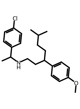 COc1ccc(C(CCNC(C)c2ccc(Cl)cc2)CCC(C)C)cc1